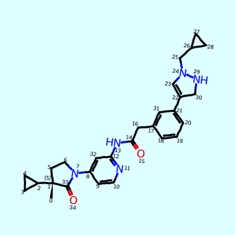 C[C@@]1(C2CC2)CCN(c2ccnc(NC(=O)Cc3cccc(C4=CN(CC5CC5)NC4)c3)c2)C1=O